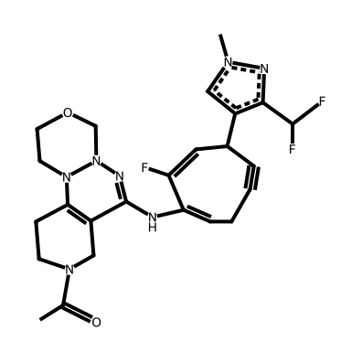 CC(=O)N1CCC2=C(C1)C(NC1=C/CC#CC(c3cn(C)nc3C(F)F)/C=C\1F)=NN1COCCN21